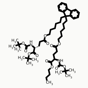 CCCCOC(=O)C(CCC(=O)OCCCCCCC1(CCCCCCOC(=O)CC[C@@H](NC(=O)OC(C)(C)C)C(=O)OC(C)(C)C)c2ccccc2-c2ccccc21)NC(=O)OC(C)(C)C